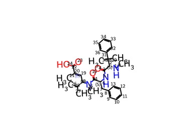 CN[C@H](C(=O)N[C@@H](Cc1ccccc1)C(=O)N(C)[C@H](/C=C(\C)C(=O)O)C(C)C)C(C)(C)c1ccccc1